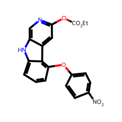 CCOC(=O)Oc1cc2c(cn1)[nH]c1cccc(Oc3ccc([N+](=O)[O-])cc3)c12